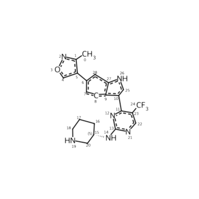 Cc1nocc1-c1ccc2c(-c3nc(N[C@H]4CCCNC4)ncc3C(F)(F)F)c[nH]c2c1